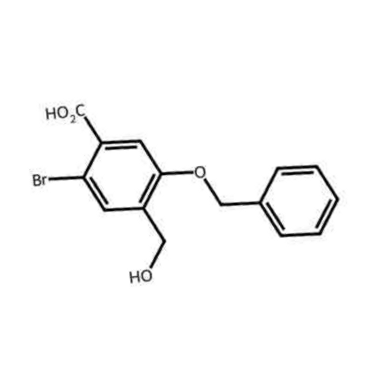 O=C(O)c1cc(OCc2ccccc2)c(CO)cc1Br